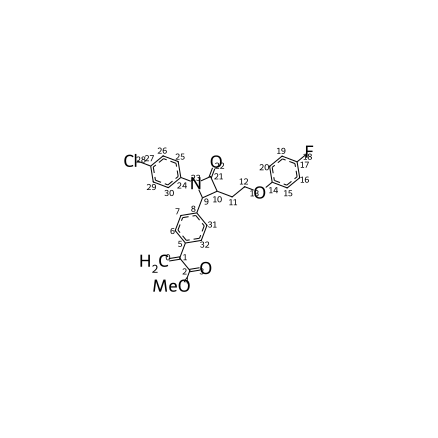 C=C(C(=O)OC)c1ccc(C2C(CCOc3ccc(F)cc3)C(=O)N2c2ccc(Cl)cc2)cc1